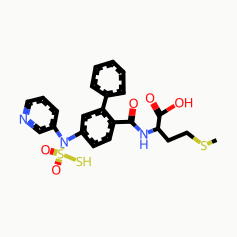 CSCCC(NC(=O)c1ccc(N(c2cccnc2)S(=O)(=O)S)cc1-c1ccccc1)C(=O)O